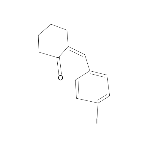 O=C1CCCCC1=Cc1ccc(I)cc1